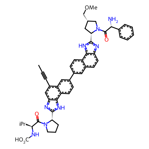 CC#Cc1cc2nc([C@@H]3CCCN3C(=O)[C@@H](NC(=O)O)C(C)C)[nH]c2c2ccc(-c3ccc4c(ccc5nc([C@@H]6C[C@H](COC)CN6C(=O)[C@H](N)c6ccccc6)[nH]c54)c3)cc12